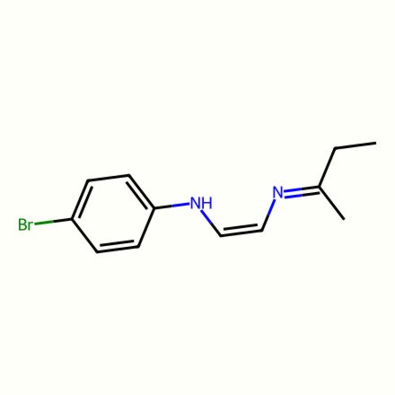 CC/C(C)=N/C=C\Nc1ccc(Br)cc1